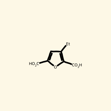 CCc1cc(C(=O)O)oc1C(=O)O